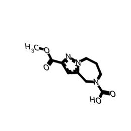 COC(=O)c1cc2n(n1)CCCN(C(=O)O)C2